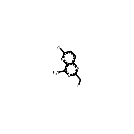 Nc1nc(CF)nc2ccc(Cl)nc12